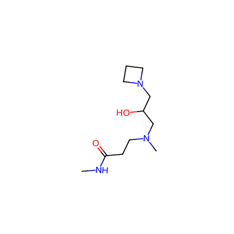 CNC(=O)CCN(C)CC(O)CN1CCC1